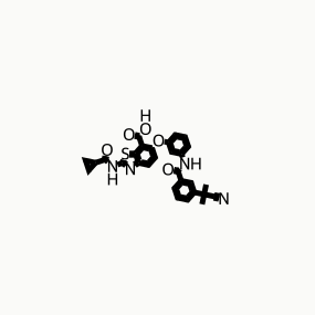 CC(C)(C#N)c1cccc(C(=O)Nc2cccc(Oc3ccc4nc(NC(=O)C5CC5)sc4c3C(=O)O)c2)c1